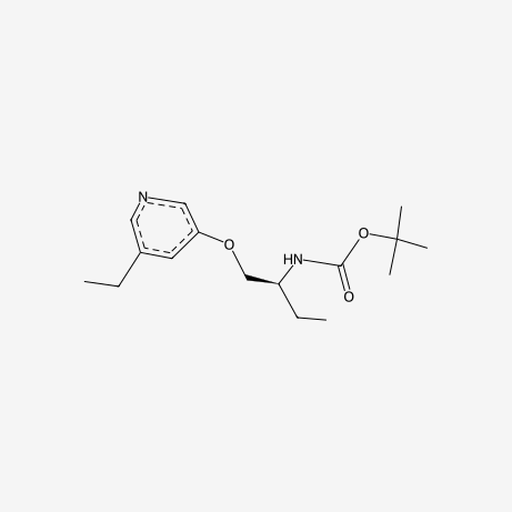 CCc1cncc(OC[C@H](CC)NC(=O)OC(C)(C)C)c1